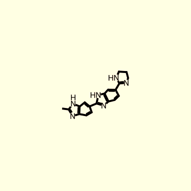 Cc1nc2ccc(-c3nc4ccc(C5=NCCCN5)cc4[nH]3)cc2[nH]1